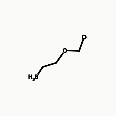 BCCOC[O]